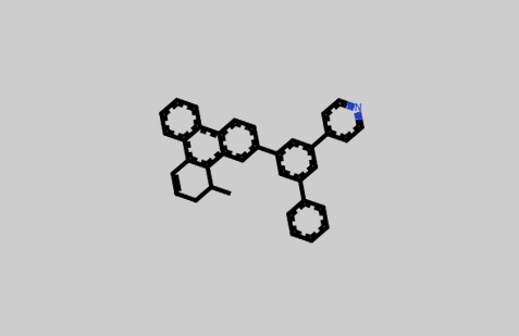 CC1CC=Cc2c1c1cc(-c3cc(-c4ccccc4)cc(-c4ccncc4)c3)ccc1c1ccccc21